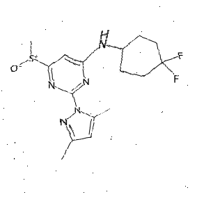 Cc1cc(C)n(-c2nc(NC3CCC(F)(F)CC3)cc([S+](C)[O-])n2)n1